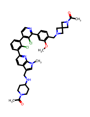 COc1cc(-c2nccc(-c3cccc(-c4ccc5c(CNC6CCN(C(C)=O)CC6)cn(C)c5n4)c3Cl)c2Cl)ccc1CN1CC2(C1)CN(C(C)=O)C2